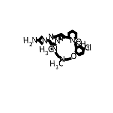 CN1CCOC2C=CC(Cl)=CC2(C)C(=O)N2CCCCC2c2cc3nc(N4CC(N)C4)cc(n3n2)N(C)CC1